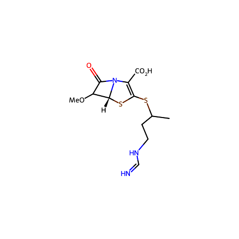 COC1C(=O)N2C(C(=O)O)=C(SC(C)CCNC=N)S[C@H]12